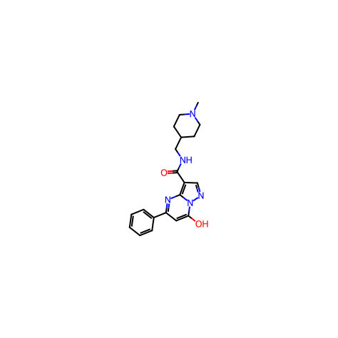 CN1CCC(CNC(=O)c2cnn3c(O)cc(-c4ccccc4)nc23)CC1